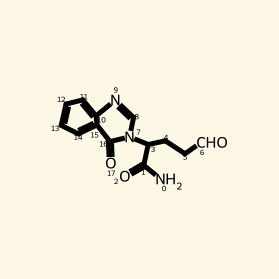 NC(=O)C(CCC=O)n1cnc2ccccc2c1=O